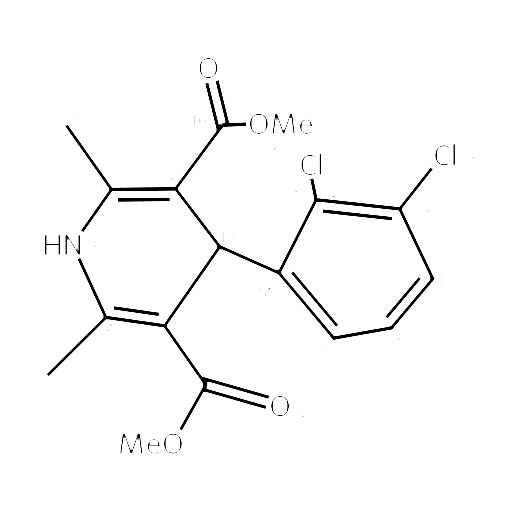 COC(=O)C1=C(C)NC(C)=C(C(=O)OC)C1c1cccc(Cl)c1Cl